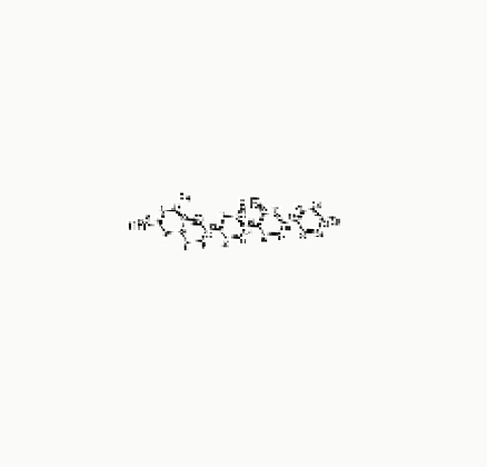 CCCc1cc(F)c2c(c1)CCC(c1ccc(-c3ccc(-c4ccc(C)cc4)cc3F)c(F)c1)O2